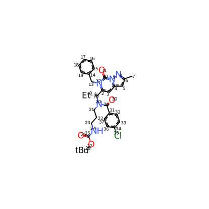 CC[C@H](c1cc2cc(C)nn2c(=O)n1Cc1ccccc1)N(CCCNC(=O)OC(C)(C)C)C(=O)c1ccc(Cl)cc1